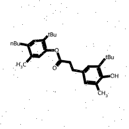 CCCCc1cc(C(C)(C)C)c(OC(=O)CCc2cc(C)c(O)c(C(C)(C)C)c2)cc1C